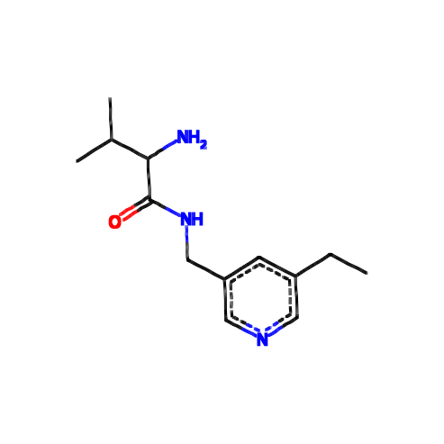 CCc1cncc(CNC(=O)C(N)C(C)C)c1